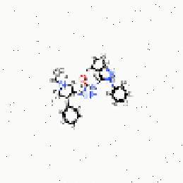 C[C@H]1C(c2ccccc2)C(NC(=O)Nc2c3c(nn2-c2ccccc2)CCC3)CN1CC(F)(F)F